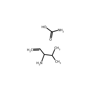 C=CC(N)C(C)C.NC(=O)O